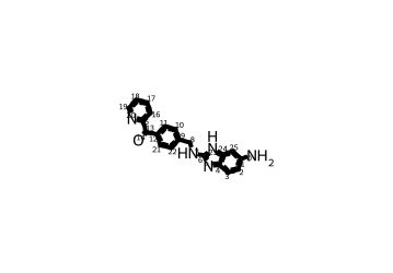 Nc1ccc2nc(NCc3ccc(C(=O)c4ccccn4)cc3)[nH]c2c1